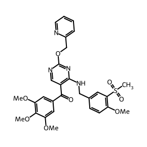 COc1ccc(CNc2nc(OCc3ccccn3)ncc2C(=O)c2cc(OC)c(OC)c(OC)c2)cc1S(C)(=O)=O